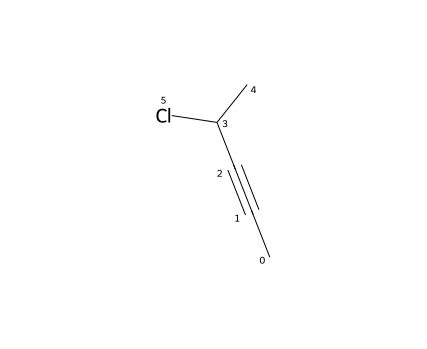 CC#CC(C)Cl